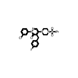 CC(C)S(=O)(=O)N1CCN(c2cnn(-c3cccc(Cl)c3)c(=O)c2Cc2ccc(F)cc2)CC1